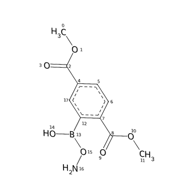 COC(=O)c1ccc(C(=O)OC)c(B(O)ON)c1